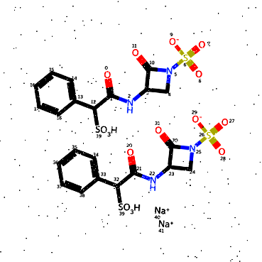 O=C(NC1CN(S(=O)(=O)[O-])C1=O)C(c1ccccc1)S(=O)(=O)O.O=C(NC1CN(S(=O)(=O)[O-])C1=O)C(c1ccccc1)S(=O)(=O)O.[Na+].[Na+]